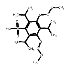 COOSc1c(C(C)C)c(SOOC)c(C(C)C)c(S(=O)(=O)O)c1C(C)C